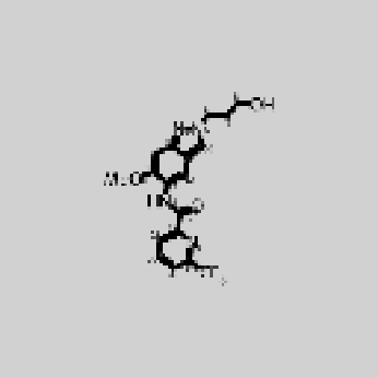 COc1cc2nn(CCCO)cc2cc1NC(=O)c1cccc(C(F)(F)F)n1